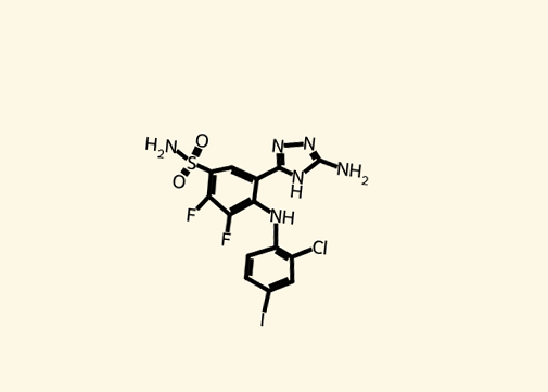 Nc1nnc(-c2cc(S(N)(=O)=O)c(F)c(F)c2Nc2ccc(I)cc2Cl)[nH]1